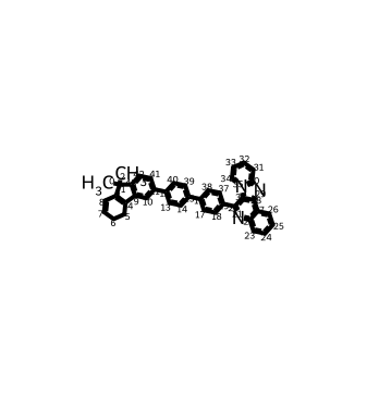 CC1(C)C2=C(CCC=C2)c2cc(-c3ccc(-c4ccc(-c5nc6ccccc6c6nc7ccccn7c56)cc4)cc3)ccc21